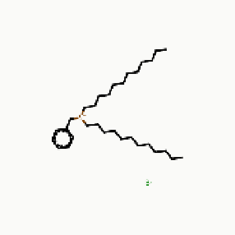 CCCCCCCCCCCC[S+](CCCCCCCCCCCC)Cc1ccccc1.[Br-]